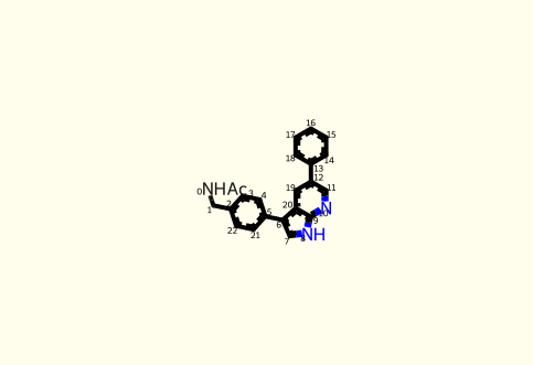 CC(=O)NCc1ccc(-c2c[nH]c3ncc(-c4ccccc4)cc23)cc1